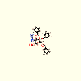 [N-]=[N+]=N[C@@H]1[C@@H](OCc2ccccc2)[C@@H](OCc2ccccc2)[C@@H](COCc2ccccc2)O[C@H]1O